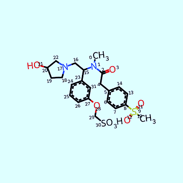 CN(C(=O)Cc1ccc(S(C)(=O)=O)cc1)C(CN1CCC(O)C1)c1cccc(OCS(=O)(=O)O)c1